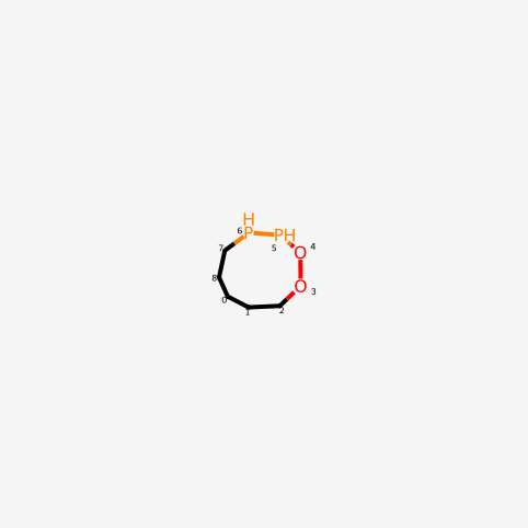 C1CCOOPPCC1